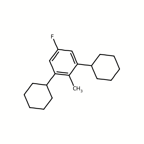 Cc1c(C2CCCCC2)cc(F)cc1C1CCCCC1